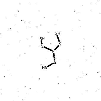 SSP(SS)SS